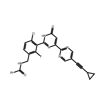 CC(C)C(=O)NCc1ccc(Cl)c(-c2nc(-c3ncc(C#CC4CC4)cn3)cc(=O)[nH]2)c1F